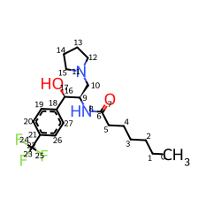 CCCCCCC(=O)N[C@H](CN1CCCC1)[C@H](O)c1ccc(C(F)(F)F)cc1